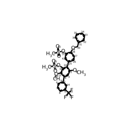 COc1cc(-c2cccc(C(F)(F)F)c2)c(OC)c(OS(C)(=O)=O)c1-c1ccc(OCc2ccccc2)c(OS(C)(=O)=O)c1